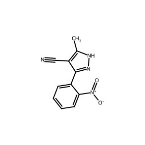 Cc1[nH]nc(-c2ccccc2[N+](=O)[O-])c1C#N